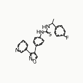 CC(NC(=S)Nc1ccc(-c2conc2-c2cccnc2)cc1)c1ccc(F)cc1